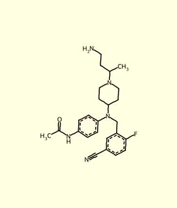 CC(=O)Nc1ccc(N(Cc2cc(C#N)ccc2F)C2CCN(C(C)CCN)CC2)cc1